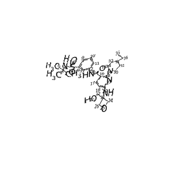 CC(C)(C)NS(=O)(=O)c1cccc(NC(=O)c2ccc(NC3(CO)COC3)nc2N2CCC3(CC2)CC3)c1